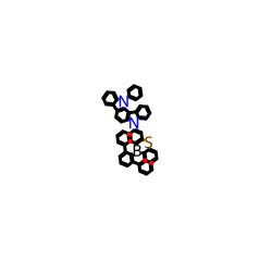 c1ccc(-c2cccc(-c3ccccc3)c2B2c3ccccc3Sc3cc(-n4c5ccccc5c5c4ccc4c6ccccc6n(-c6ccccc6)c45)ccc32)cc1